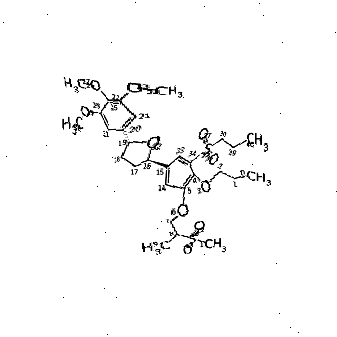 CCCOc1c(OCC(C)S(C)(=O)=O)cc([C@H]2CC[C@H](c3cc(OC)c(OC)c(OC)c3)O2)cc1S(=O)(=O)CCC